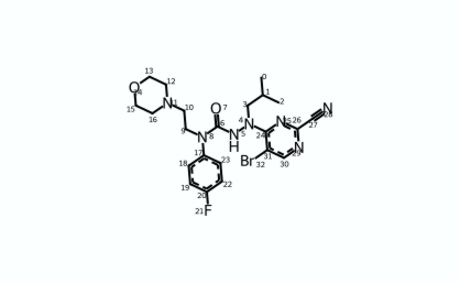 CC(C)CN(NC(=O)N(CCN1CCOCC1)c1ccc(F)cc1)c1nc(C#N)ncc1Br